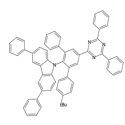 CC(C)(C)c1ccc(-c2cc(-c3nc(-c4ccccc4)nc(-c4ccccc4)n3)cc(-c3ccccc3)c2-n2c3ccc(-c4ccccc4)cc3c3cc(-c4ccccc4)ccc32)cc1